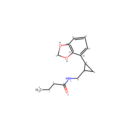 CCCC(=O)NCC1CC1c1cccc2c1OCO2